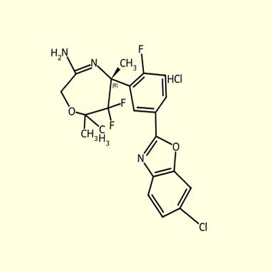 CC1(C)OCC(N)=N[C@](C)(c2cc(-c3nc4ccc(Cl)cc4o3)ccc2F)C1(F)F.Cl